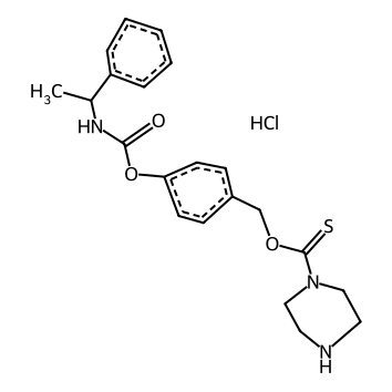 CC(NC(=O)Oc1ccc(COC(=S)N2CCNCC2)cc1)c1ccccc1.Cl